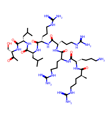 CC(=O)[C@H](CO)NC(=O)[C@H](CC(C)C)NC(=O)[C@H](CC(C)C)NC(=O)[C@H](CCCNC(=N)N)NC(=O)[C@H](CCCNC(=N)N)NC(=O)[C@H](CCCNC(=N)N)NC(=O)[C@H](CCCCN)NC(=O)[C@@H](C)CCCNC(=N)N